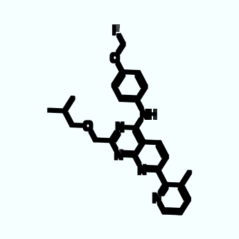 Cc1cccnc1-c1ccc2c(Nc3ccc(OCF)cc3)nc(COCC(C)C)nc2n1